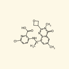 Cc1cc([C@@H](C)Nc2ccc(Cl)nc2C(=O)O)c2nc(C3COC3)n(C)c(=O)c2c1